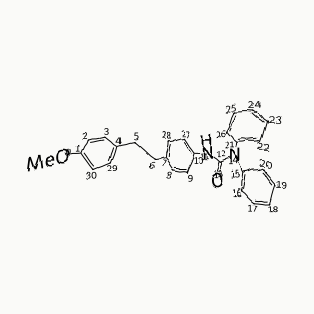 COc1ccc(CCc2ccc(NC(=O)N(c3ccccc3)c3ccccc3)cc2)cc1